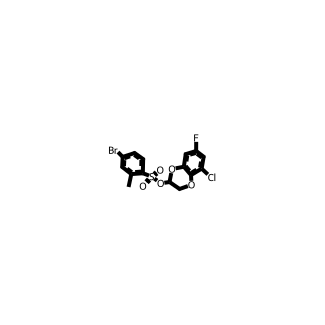 Cc1cc(Br)ccc1S(=O)(=O)OC1COc2c(Cl)cc(F)cc2O1